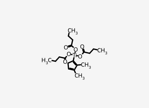 CCCC(=O)[O][Ti]([O]C(=O)CCC)([O]C(=O)CCC)[C]1=C(C)C(C)=CC1